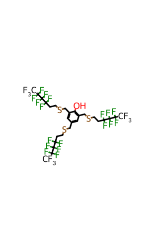 Oc1c(CSCCC(F)(F)C(F)(F)C(F)(F)C(F)(F)F)cc(CSCCC(F)(F)C(F)(F)C(F)(F)C(F)(F)F)cc1CSCCC(F)(F)C(F)(F)C(F)(F)C(F)(F)F